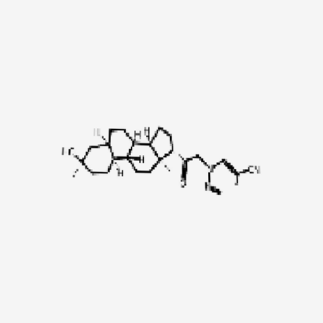 C=NN(/C=C(\C)C#N)CC(=O)[C@H]1CC[C@H]2[C@@H]3CC[C@@H]4C[C@](C)(O)CC[C@@H]4[C@H]3CC[C@]12C